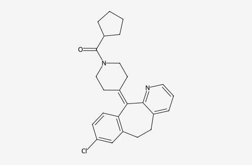 O=C(C1CCCC1)N1CCC(=C2c3ccc(Cl)cc3CCc3cccnc32)CC1